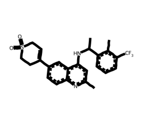 Cc1cc(NC(C)c2cccc(C(F)(F)F)c2C)c2cc(C3=CCS(=O)(=O)CC3)ccc2n1